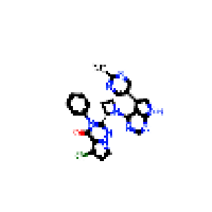 N#Cc1ncc(-c2c[nH]c3ncnc(N4CC[C@H]4c4nn5ccc(Cl)c5c(=O)n4-c4ccccc4)c23)cn1